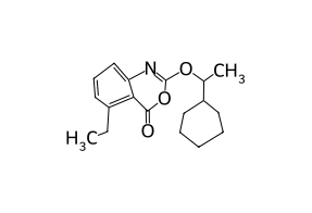 CCc1cccc2nc(OC(C)C3CCCCC3)oc(=O)c12